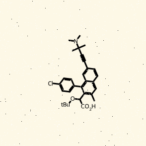 Cc1cc2ccc(C#CC(C)(C)N(C)C)cc2c(-c2ccc(Cl)cc2)c1C(OC(C)(C)C)C(=O)O